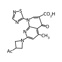 CC(=O)C1CN(c2cc(C)c3c(=O)c(C(=O)O)cn(-c4ncns4)c3n2)C1